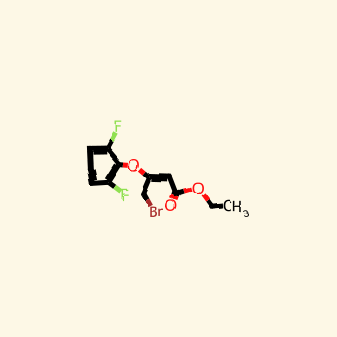 CCOC(=O)/C=C(\CBr)Oc1c(F)cccc1F